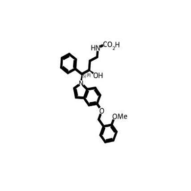 COc1ccccc1COc1ccc2c(ccn2[C@@H](c2ccccc2)[C@H](O)CCNC(=O)O)c1